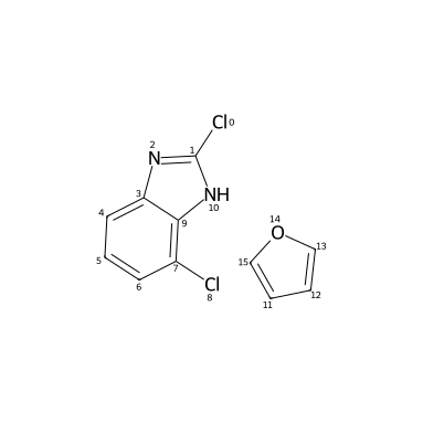 Clc1nc2cccc(Cl)c2[nH]1.c1ccoc1